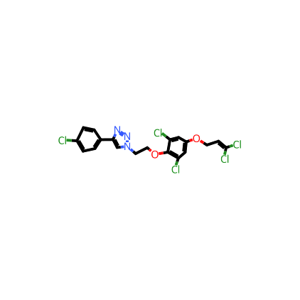 ClC(Cl)=CCOc1cc(Cl)c(OCCn2cc(-c3ccc(Cl)cc3)nn2)c(Cl)c1